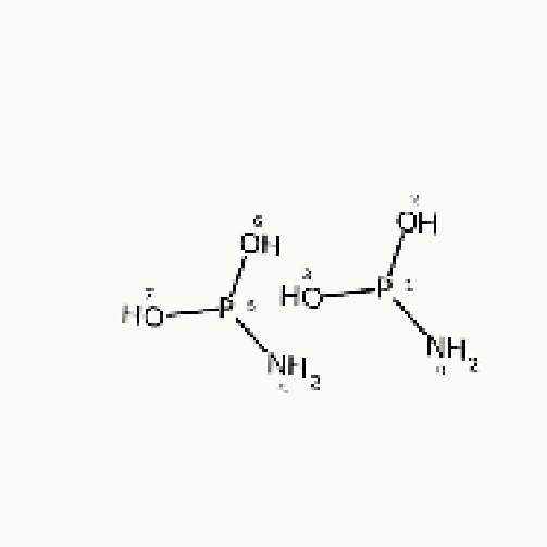 NP(O)O.NP(O)O